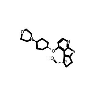 OC[C@H]1CCc2sc3nccc(O[C@H]4CC[C@H](N5CCOCC5)CC4)c3c21